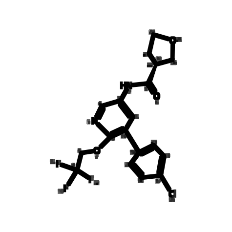 O=C(Nc1cnc(OCC(F)(F)F)c(-c2ccc(Cl)cc2)c1)[C@H]1CCOC1